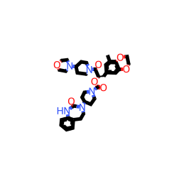 Cc1cc(C[C@@H](OC(=O)N2CCC(N3CCc4ccccc4NC3=O)CC2)C(=O)N2CCC(N3CCOCC3)CC2)cc2c1OCCO2